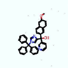 COc1ccc2cc(C(O)(c3cccnc3)c3cn(C(c4ccccc4)(c4ccccc4)c4ccccc4)cn3)ccc2c1